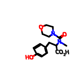 CN(C(=O)N1CCOCC1)C(Cc1ccc(O)cc1)C(=O)O